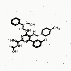 C[C@H]1CC[C@H](CNc2c(NN[C@@H](CO)c3ccccc3)nc(C(=N)NC(=O)O)nc2-c2cccc(Cl)c2)CC1